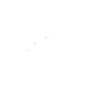 NCCNCc1cc([N+](=O)[O-])no1